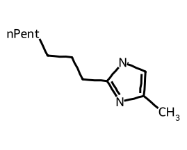 CCCCCCCCC1=NC(C)=C[N]1